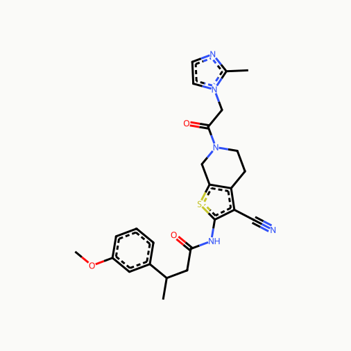 COc1cccc(C(C)CC(=O)Nc2sc3c(c2C#N)CCN(C(=O)Cn2ccnc2C)C3)c1